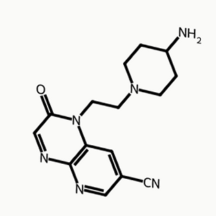 N#Cc1cnc2ncc(=O)n(CCN3CCC(N)CC3)c2c1